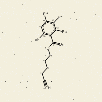 C#CCCCCOC(=O)c1c(F)cc(F)c(F)c1F